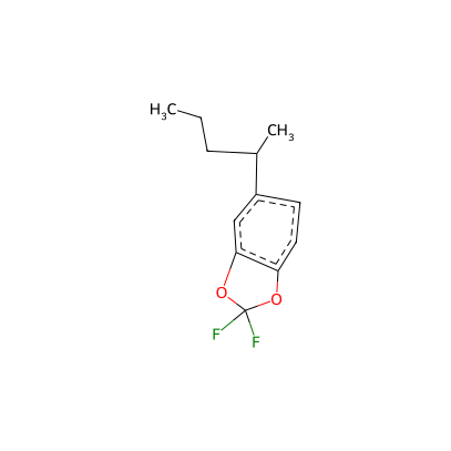 CCCC(C)c1ccc2c(c1)OC(F)(F)O2